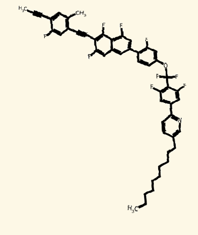 CC#Cc1cc(C)c(C#Cc2c(F)cc3cc(-c4ccc(OC(F)(F)c5c(F)cc(-c6ccc(CCCCCCCCCC)cn6)cc5F)cc4F)cc(F)c3c2F)cc1F